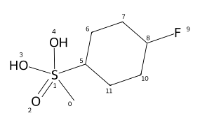 CS(=O)(O)(O)C1CCC(F)CC1